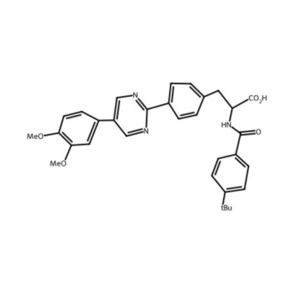 COc1ccc(-c2cnc(-c3ccc(CC(NC(=O)c4ccc(C(C)(C)C)cc4)C(=O)O)cc3)nc2)cc1OC